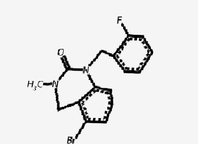 CN1Cc2c(Br)cccc2N(Cc2ccccc2F)C1=O